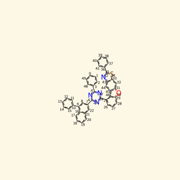 c1ccc(-c2nc(-c3cc(-c4ccccc4)c4ccccc4c3)nc(-c3cccc4oc5cc6sc(-c7ccccc7)nc6cc5c34)n2)cc1